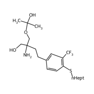 CCCCCCCSc1ccc(CCC(N)(CO)COC(C)(C)O)cc1C(F)(F)F